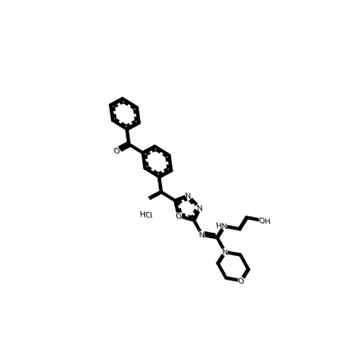 CC(c1cccc(C(=O)c2ccccc2)c1)c1nnc(/N=C(\NCCO)N2CCOCC2)o1.Cl